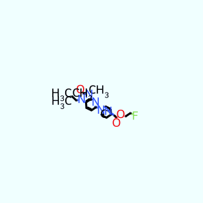 Cn1c(=O)n(CC(C)(C)C)c2ccc(N3CC4CCC3CN4C(=O)OCCF)nc21